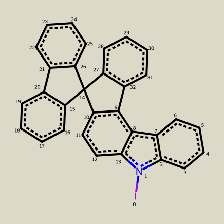 In1c2ccccc2c2c3c(ccc21)C1(c2ccccc2-c2ccccc21)c1ccccc1-3